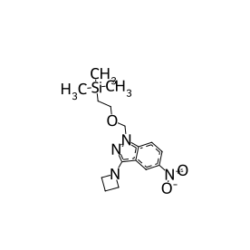 C[Si](C)(C)CCOCn1nc(N2CCC2)c2cc([N+](=O)[O-])ccc21